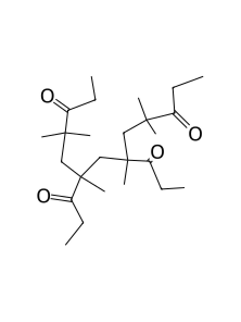 CCC(=O)C(C)(C)CC(C)(CC(C)(CC(C)(C)C(=O)CC)C(=O)CC)C(=O)CC